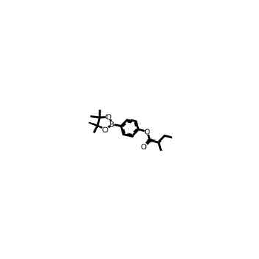 CCC(C)C(=O)Oc1ccc(B2OC(C)(C)C(C)(C)O2)cc1